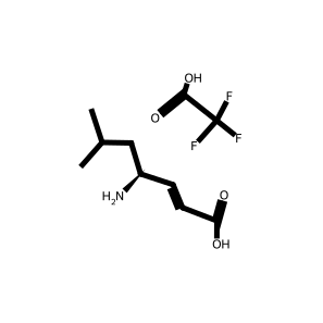 CC(C)C[C@H](N)C=CC(=O)O.O=C(O)C(F)(F)F